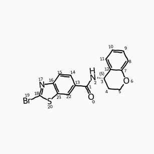 O=C(N[C@H]1CCOc2ccccc21)c1ccc2nc(Br)sc2c1